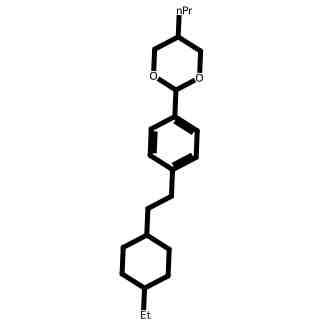 CCCC1COC(c2ccc(CCC3CCC(CC)CC3)cc2)OC1